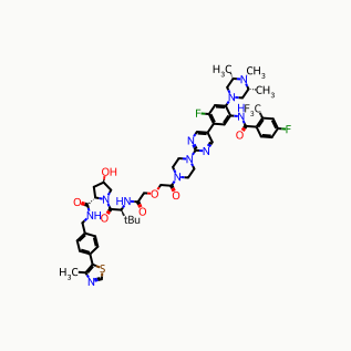 Cc1ncsc1-c1ccc(CNC(=O)[C@@H]2C[C@@H](O)CN2C(=O)[C@@H](NC(=O)COCC(=O)N2CCN(c3ncc(-c4cc(NC(=O)c5ccc(F)cc5C(F)(F)F)c(N5C[C@@H](C)N(C)[C@@H](C)C5)cc4F)cn3)CC2)C(C)(C)C)cc1